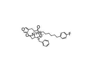 O=C(NCCCCCCc1ccc(F)cc1)C(Cc1ccoc1)N1C(=O)CC1[S+]([O-])Cc1ccccc1